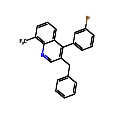 FC(F)(F)c1cccc2c(-c3cccc(Br)c3)c(Cc3ccccc3)cnc12